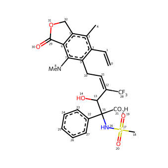 C=Cc1c(C)c2c(c(NC)c1C/C=C(\C(O)C(NS(C)(=O)=O)(C(=O)O)c1ccccc1)C(F)(F)F)C(=O)OC2